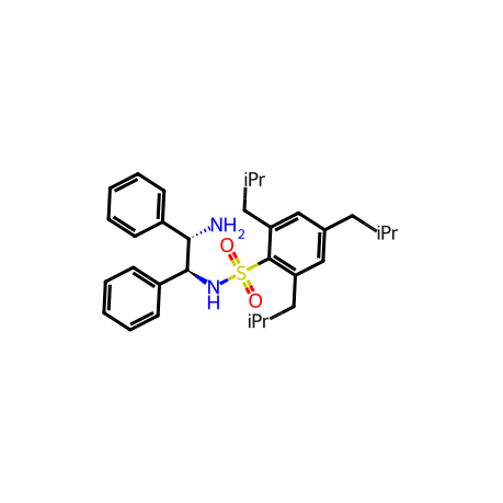 CC(C)Cc1cc(CC(C)C)c(S(=O)(=O)N[C@@H](c2ccccc2)[C@@H](N)c2ccccc2)c(CC(C)C)c1